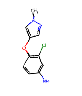 Cn1cc(Oc2ccc([NH])cc2Cl)cn1